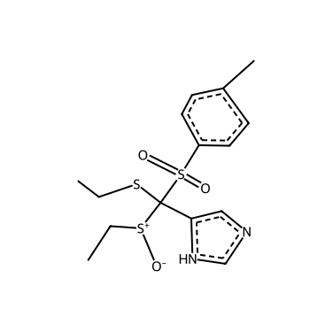 CCSC(c1cnc[nH]1)([S+]([O-])CC)S(=O)(=O)c1ccc(C)cc1